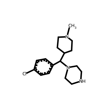 CN1CCC(C(c2ccc(Cl)cc2)N2CCNCC2)CC1